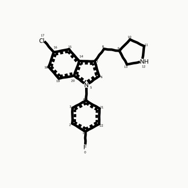 Fc1ccc(-n2cc(CC3CCNC3)c3cc(Cl)ccc32)cc1